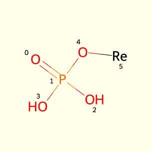 O=P(O)(O)[O][Re]